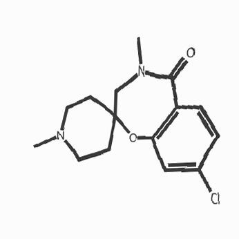 CN1CCC2(CC1)CN(C)C(=O)c1ccc(Cl)cc1O2